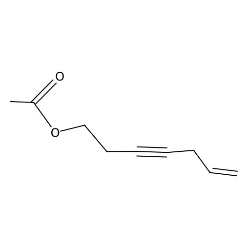 C=CCC#CCCOC(C)=O